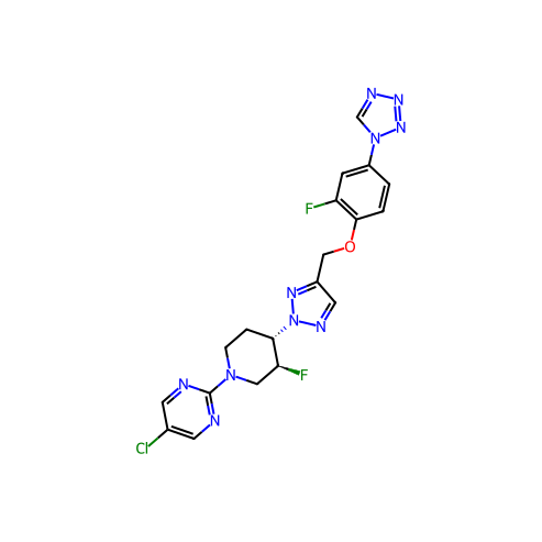 Fc1cc(-n2cnnn2)ccc1OCc1cnn([C@H]2CCN(c3ncc(Cl)cn3)C[C@@H]2F)n1